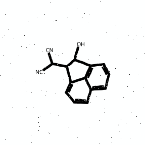 N#CC(C#N)C1c2cccc3cccc(c23)C1O